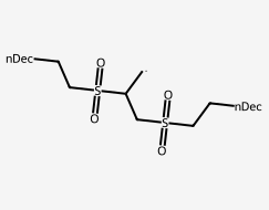 [CH2]C(CS(=O)(=O)CCCCCCCCCCCC)S(=O)(=O)CCCCCCCCCCCC